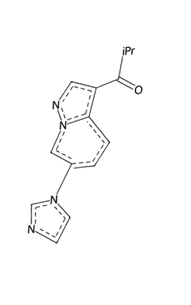 CC(C)C(=O)c1cnn2cc(-n3ccnc3)ccc12